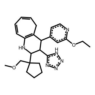 CCOc1cc(C2C3=C(C=CC=CC3)NC(C3(COC)CCCC3)C2c2nnn[nH]2)ccn1